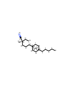 CCCCCC12CCC([C@H]3CC[C@@](C)(C#N)CC3)(CC1)CC2